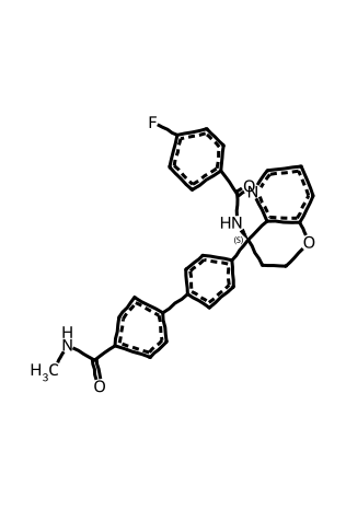 CNC(=O)c1ccc(-c2ccc([C@@]3(NC(=O)c4ccc(F)cc4)CCOc4cccnc43)cc2)cc1